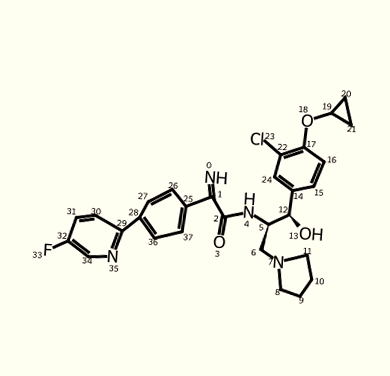 N=C(C(=O)N[C@H](CN1CCCC1)[C@H](O)c1ccc(OC2CC2)c(Cl)c1)c1ccc(-c2ccc(F)cn2)cc1